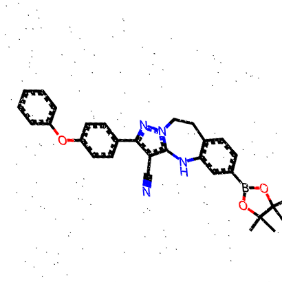 CC1(C)OB(c2ccc3c(c2)Nc2c(C#N)c(-c4ccc(Oc5ccccc5)cc4)nn2CC3)OC1(C)C